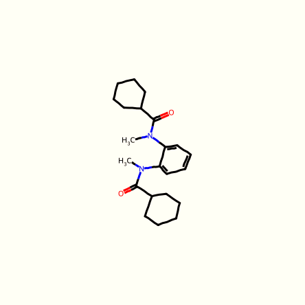 CN(C(=O)C1CCCCC1)c1ccccc1N(C)C(=O)C1CCCCC1